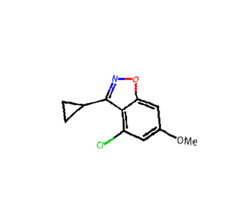 COc1cc(Cl)c2c(C3CC3)noc2c1